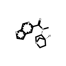 CN(C(=O)c1cc2ccoc2cn1)[C@H]1CN2CC[C@H]1C2